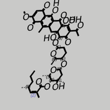 CCC[C@@H](C)/C=C(/C)C(=O)O[C@@H]1[C@H](C)O[C@@H](O[C@H]2CC[C@H](O[C@@H]3C(=O)C(C(C)=O)=C(O)[C@@]4(O)C(=O)c5c(O)c6c(c(C)c5C[C@@]34O)C(=O)C(OC)=CC6=O)O[C@@H]2C)C[C@@]1(C)O